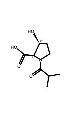 CC(C)C(=O)N1CC[C@H](O)[C@@H]1C(=O)O